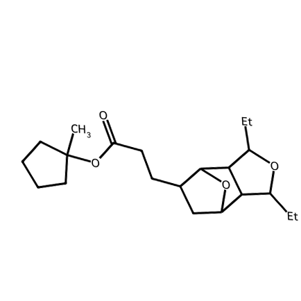 CCC1OC(CC)C2C3OC(CC3CCC(=O)OC3(C)CCCC3)C12